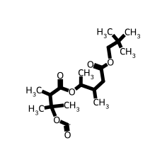 CC(CC(=O)OCC(C)(C)C)C(C)OC(=O)C(C)C(C)(C)O[C]=O